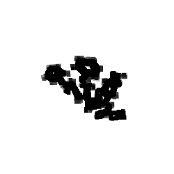 O=C(O)C[C@H](NC(=O)N[C@@H](CCSc1ccccc1)CSc1ccccc1)c1ccc2c(c1)OCO2